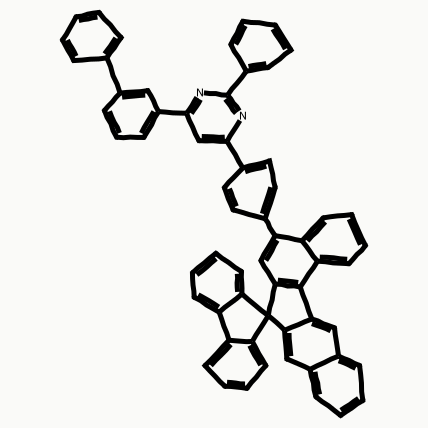 c1ccc(-c2cccc(-c3cc(-c4ccc(-c5cc6c(c7ccccc57)-c5cc7ccccc7cc5C65c6ccccc6-c6ccccc65)cc4)nc(-c4ccccc4)n3)c2)cc1